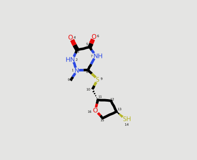 CN1NC(=O)C(=O)NC1SC[C@@H]1C[C@@H](S)CO1